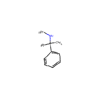 CCCNC(C)(c1ccccc1)C(C)C